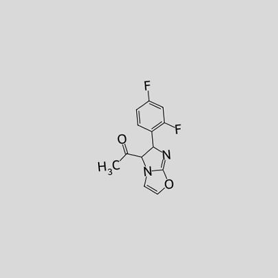 CC(=O)C1C(c2ccc(F)cc2F)N=C2OC=CN21